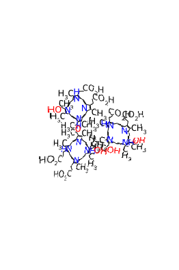 CC1=C(CCC(=O)O)c2cc3[nH]c(cc4nc(cc5[nH]c(cc1n2)c(C(C)O)c5C)C(C(C)O)=C4C)c(C)c3CCC(=O)O.CC1=C(CCC(=O)O)c2cc3[nH]c(cc4nc(cc5[nH]c(cc1n2)c(C)c5C(C)OC(C)C1=C(C)c2cc5[nH]c(cc6nc(cc7[nH]c(cc1n2)c(C)c7CCC(=O)O)C(CCC(=O)O)=C6C)c(C)c5C(C)O)C(C)=C4C(C)O)c(C)c3CCC(=O)O